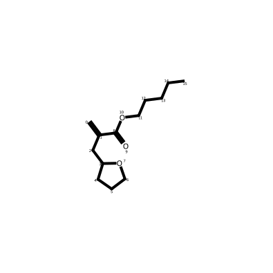 C=C(CC1CCCO1)C(=O)OCCCCC